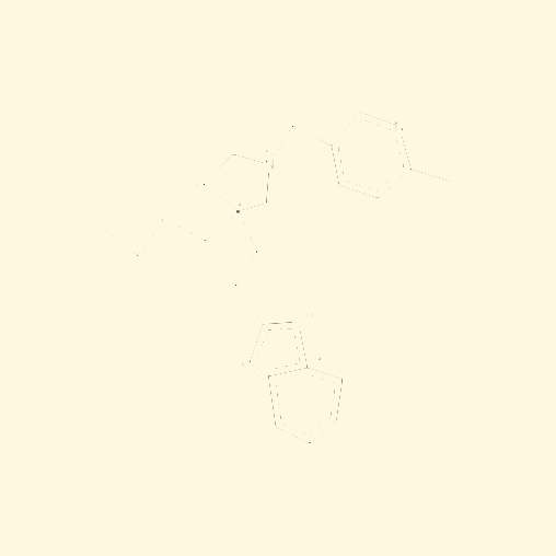 CCOCC1(CCc2cc3ccccc3s2)CCN(Cc2ccc(C)nc2)C1